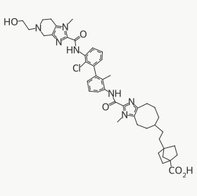 Cc1c(NC(=O)c2nc3c(n2C)CCC(CCC24CCC(C(=O)O)(CC2)C4)CCC3)cccc1-c1cccc(NC(=O)c2nc3c(n2C)CCN(CCO)C3)c1Cl